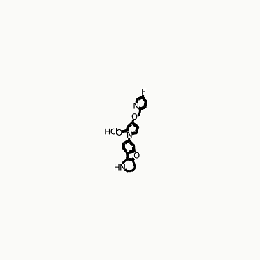 Cl.O=c1cc(OCc2ccc(F)cn2)ccn1-c1ccc2c3c(oc2c1)CCCNC3